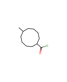 CC1CCCCC(C(=O)Cl)CCCC1